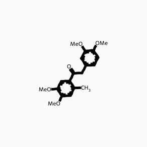 COc1ccc(CC(=O)c2cc(OC)c(OC)cc2C)cc1OC